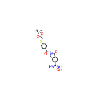 COC(=O)CSc1ccc(C(=O)CN2Cc3cc(C(=N)NO)ccc3C2=O)cc1